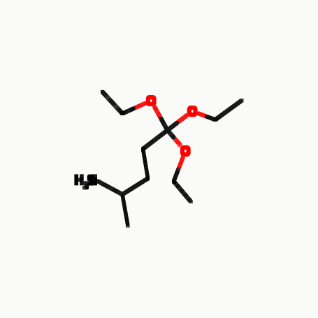 CCOC(CCC(C)[SiH3])(OCC)OCC